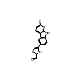 O=CC1NC(c2ccc3[nH]c4nc(Cl)ccc4c3c2)=CS1